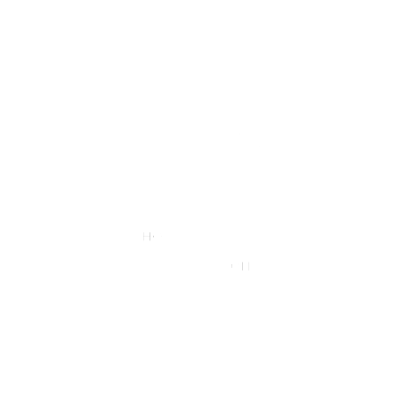 Oc1ccc2cccc(O)c2c1.c1ccc2ccccc2c1